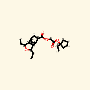 CCC1OC(CC)C2C3CC(CC3C(=O)OCC(=O)OC3(CC)CCCC3)C12